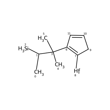 CC([SiH3])C(C)(C)C1=[C]([Hf])CC=C1